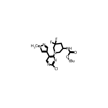 Cn1cc(-c2cnc(Cl)nc2N2CC(NC(=O)OC(C)(C)C)CC(F)(F)C2)cn1